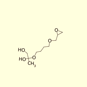 CC(O)(CO)OCCCCOCC1CO1